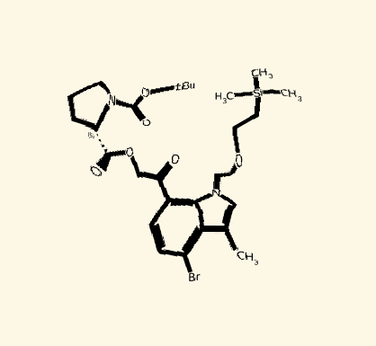 Cc1cn(COCC[Si](C)(C)C)c2c(C(=O)COC(=O)[C@@H]3CCCN3C(=O)OC(C)(C)C)ccc(Br)c12